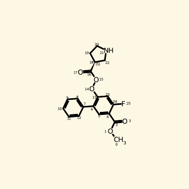 COC(=O)c1cc(-c2ccccc2)c(OOC(=O)[C@H]2CCNC2)cc1F